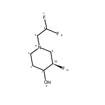 OC1CCN(CC(F)F)C[C@H]1F